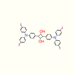 OC1C(c2ccc(N(c3ccc(I)cc3)c3ccc(I)cc3)cc2)C(O)C1c1ccc(N(c2ccc(I)cc2)c2ccc(I)cc2)cc1